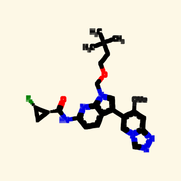 COc1cc2nncn2cc1-c1cn(COCC[Si](C)(C)C)c2nc(NC(=O)[C@@H]3C[C@@H]3F)ccc12